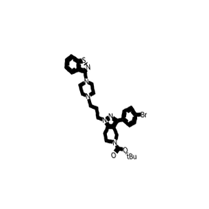 CC(C)(C)OC(=O)N1CCc2c(c(-c3ccc(Br)cc3)nn2CCCN2CCN(c3nsc4ccccc34)CC2)C1